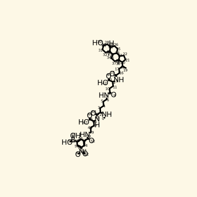 CNC(CCCCNC(=O)CCC(NC(=O)CCC(C)C1CCC2C3CC[C@H]4C[C@@H](O)CC[C@@]4(C)C3CC[C@@]12C)C(=O)O)C(=O)NC(CCCNC(=O)c1cc(B(O)O)cc([N+](=O)[O-])c1)C(=O)O